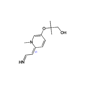 CN1C=C(OC(C)(C)CO)C=C/C1=C/C=N